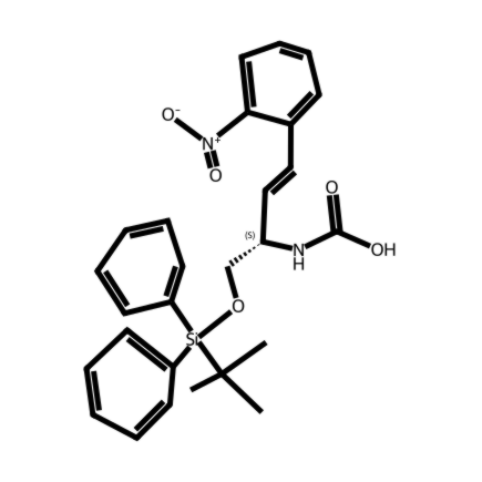 CC(C)(C)[Si](OC[C@H](C=Cc1ccccc1[N+](=O)[O-])NC(=O)O)(c1ccccc1)c1ccccc1